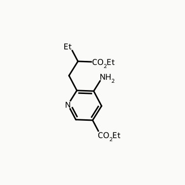 CCOC(=O)c1cnc(CC(CC)C(=O)OCC)c(N)c1